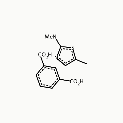 CNc1ncc(C)s1.O=C(O)c1cccc(C(=O)O)c1